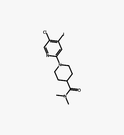 CN(C)C(=O)C1CCN(c2cc(I)c(Cl)cn2)CC1